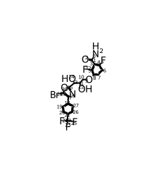 NC(=O)c1c(F)ccc(OCC(O)C(O)c2nc(-c3ccc(C(F)(F)F)cc3)c(Br)o2)c1F